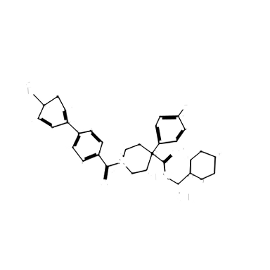 C[C@H](NC(=O)C1(c2ccc(F)cc2)CCN(C(=O)c2ccc(C3=CCC(F)C=C3)cc2)CC1)C1CCCCC1